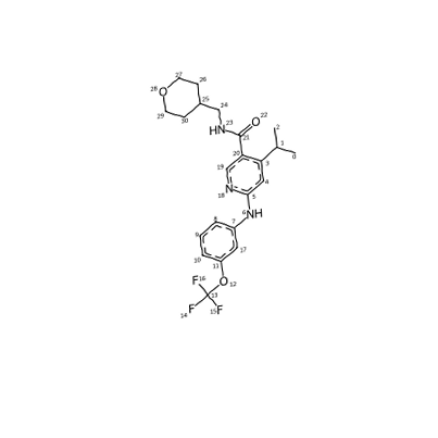 CC(C)c1cc(Nc2cccc(OC(F)(F)F)c2)ncc1C(=O)NCC1CCOCC1